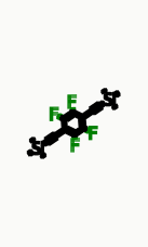 C[Si](C)(C)C#Cc1c(F)c(F)c(C#C[Si](C)(C)C)c(F)c1F